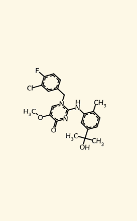 COc1cn(Cc2ccc(F)c(Cl)c2)c(Nc2cc(C(C)(C)O)ccc2C)nc1=O